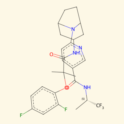 C[C@H](NC(=O)c1ccc(N2C3CCC2CC(NC(=O)C(C)(C)Oc2ccc(F)cc2F)C3)nc1)C(F)(F)F